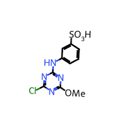 COc1nc(Cl)nc(Nc2cccc(S(=O)(=O)O)c2)n1